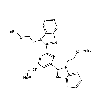 CCCCOCCn1c(-c2cccc(-c3nc4ccccc4n3CCOCCCC)n2)nc2ccccc21.[Cl-].[Cl-].[Cl-].[Nd+3]